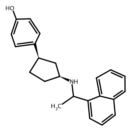 CC(N[C@H]1CC[C@@H](c2ccc(O)cc2)C1)c1cccc2ccccc12